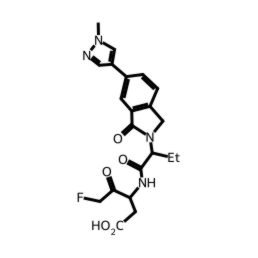 CCC(C(=O)NC(CC(=O)O)C(=O)CF)N1Cc2ccc(-c3cnn(C)c3)cc2C1=O